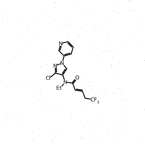 CCN(C(=O)C=CCC(F)(F)F)c1cn(-c2cccnc2)nc1Cl